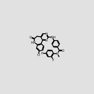 CN(C(=O)c1ccc(Nc2ncc3c(n2)-c2ccc(Cl)cc2NC(=O)C3)cc1)c1ccc(F)cc1F